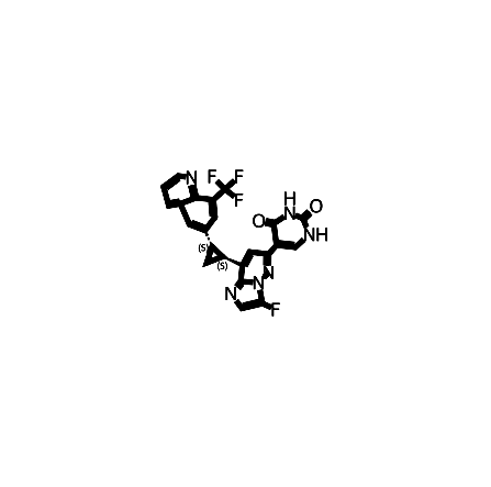 O=c1[nH]cc(-c2cc([C@H]3C[C@@H]3c3cc(C(F)(F)F)c4ncccc4c3)c3ncc(F)n3n2)c(=O)[nH]1